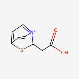 O=C(O)C[C]1Sc2cc[n+]1cc2